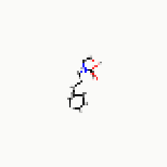 O=C1OCCN1CCCC1CCCCC1